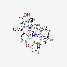 COc1ccc(OC(C)CNCCCF)cc1C1c2[nH]c3ccccc3c2C[C@@H](C)N1CC(F)(F)CO